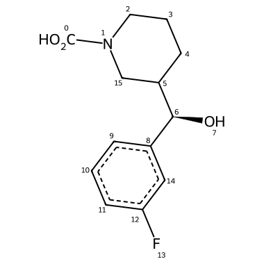 O=C(O)N1CCCC([C@@H](O)c2cccc(F)c2)C1